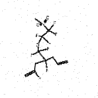 C=CCC(F)(CC(=C)F)C(F)(F)OC(F)(F)C(F)(F)S(C)(=O)=O